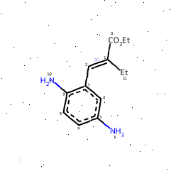 CCOC(=O)/C(=C/c1cc(N)ccc1N)CC